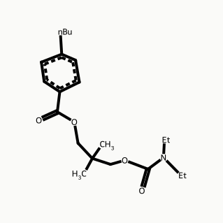 CCCCc1ccc(C(=O)OCC(C)(C)COC(=O)N(CC)CC)cc1